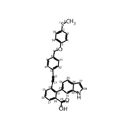 CSc1ccc(OCc2ccc(C#Cc3cccc(C(=O)O)c3-c3ccc4cc[nH]c4c3)cc2)cc1